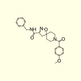 COc1ccc(C(=O)N2CCC3(CC2)CC(C(=O)NCc2ccccc2)=NO3)cc1